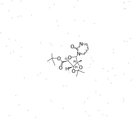 CC(C)(C)OC(=O)[C@H]1OC(n2cccnc2=O)[C@]2(C)OC(C)(C)O[C@H]12